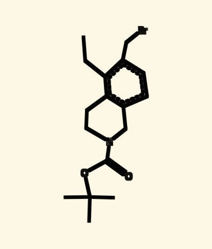 CCc1c(CBr)ccc2c1CCN(C(=O)OC(C)(C)C)C2